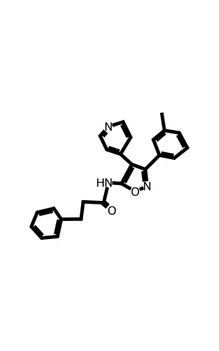 Cc1cccc(-c2noc(NC(=O)CCc3ccccc3)c2-c2ccncc2)c1